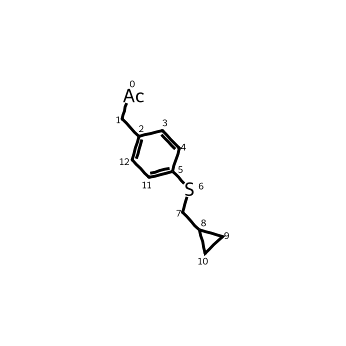 CC(=O)Cc1ccc(SCC2CC2)cc1